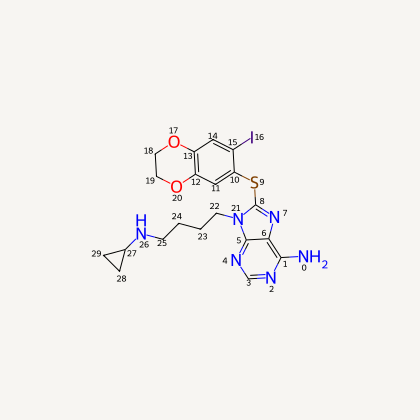 Nc1ncnc2c1nc(Sc1cc3c(cc1I)OCCO3)n2CCCCNC1CC1